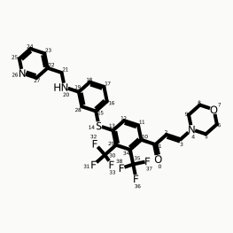 O=C(C=CN1CCOCC1)c1ccc(Sc2cccc(NCc3cccnc3)c2)c(C(F)(F)F)c1C(F)(F)F